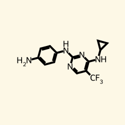 Nc1ccc(Nc2ncc(C(F)(F)F)c(NC3CC3)n2)cc1